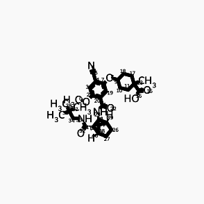 COc1cc(C#N)c(OC2CCC(C)(C(=O)O)CC2)cc1C(=O)N[C@@H]1[C@@H]2CC[C@@H](C2)[C@@H]1C(=O)NCC(C)(C)C